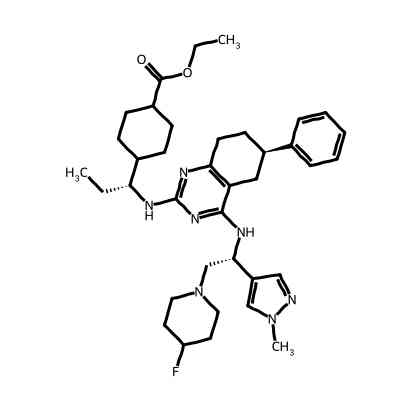 CCOC(=O)C1CCC([C@@H](CC)Nc2nc3c(c(N[C@@H](CN4CCC(F)CC4)c4cnn(C)c4)n2)C[C@H](c2ccccc2)CC3)CC1